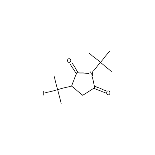 CC(C)(I)C1CC(=O)N(C(C)(C)C)C1=O